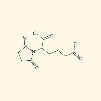 O=C(Cl)CCCC(C(=O)Cl)N1C(=O)CCC1=O